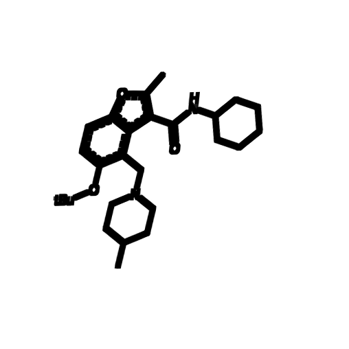 Cc1oc2ccc(OC(C)(C)C)c(CN3CCC(C)CC3)c2c1C(=O)NC1CCCCC1